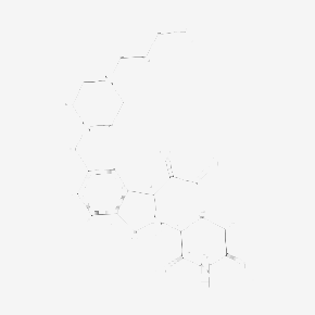 O=CC(=O)C1c2cc(CN3CCN(CCCBr)CC3)ccc2CN1C1CCC(=O)NC1=O